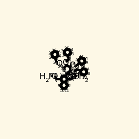 OC1(c2cc(COP)c3ccccc3c2COP)S[C@H](COCc2ccccc2)[C@@H](OCc2ccccc2)[C@H](OCc2ccccc2)[C@H]1OCc1ccccc1